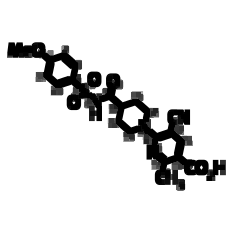 COc1ccc(S(=O)(=O)NC(=O)C2CCN(c3nc(C)c(C(=O)O)cc3C#N)CC2)cc1